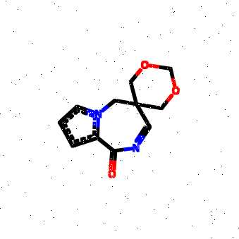 O=C1N=CC2(COCOC2)Cn2cccc21